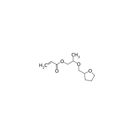 C=CC(=O)OCC(C)OCC1CCCO1